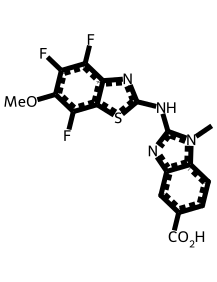 COc1c(F)c(F)c2nc(Nc3nc4cc(C(=O)O)ccc4n3C)sc2c1F